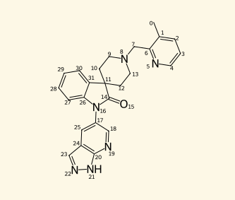 Cc1cccnc1CN1CCC2(CC1)C(=O)N(c1cnc3[nH]ncc3c1)c1ccccc12